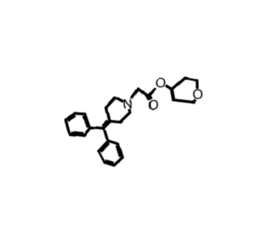 O=C(CN1CCC(=C(c2ccccc2)c2ccccc2)CC1)OC1CCOCC1